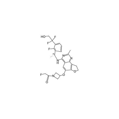 Cc1nc(N[C@H](C)c2cccc(C(F)(F)CO)c2F)c2cc(OC3CN(C(=O)CF)C3)c3c(c2n1)CCO3